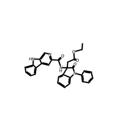 CCOC(=O)CC1(NC(=O)c2cc3c(cn2)[nH]c2ccccc23)C(=O)N(c2ccccc2)c2ccccc21